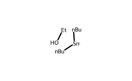 CCC[CH2][Sn][CH2]CCC.CCO